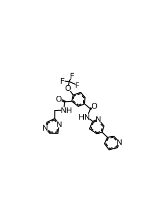 O=C(Nc1ccc(-c2cccnc2)cn1)c1ccc(OC(F)(F)F)c(C(=O)NCc2cnccn2)c1